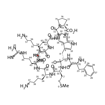 CSCC[C@H](NC(=O)[C@H](Cc1c[nH]c2ccccc12)NC(=O)[C@@H](N)Cc1ccccc1)C(=O)N[C@@H](CCCCN)C(=O)N[C@@H](CCCNC(=N)N)C(=O)N[C@@H](CCCCN)C(=O)N[C@@H](CCCCN)C(=O)N[C@H](C(=O)N1CCC[C@H]1C(=O)O)C(C)C